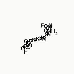 C[C@@H](Oc1cc(-c2cnn(C3CCN(C4CN(c5ccc6c(c5)C(=O)N(C5CCC(=O)NC5=O)C6=O)C4)CC3)c2)cnc1N)c1cc(F)ccc1-n1nccn1